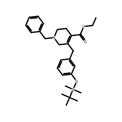 CCOC(=O)C1=C(Cc2cccc(O[Si](C)(C)C(C)(C)C)c2)CN(Cc2ccccc2)CC1